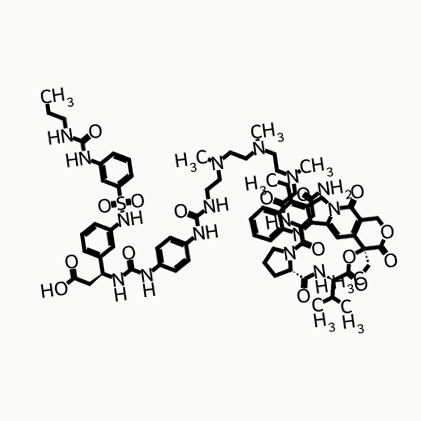 CCCNC(=O)Nc1cccc(S(=O)(=O)Nc2cccc([C@H](CC(=O)O)NC(=O)Nc3ccc(NC(=O)NCCN(C)CCN(C)CCN(C)CC(=O)N[C@@H](CC(N)=O)C(=O)N4CCC[C@H]4C(=O)N[C@H](C(=O)O[C@]4(CC)C(=O)OCc5c4cc4n(c5=O)Cc5c-4nc4ccccc4c5CC)C(C)C)cc3)c2)c1